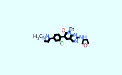 CCn1c(=O)c(-c2ccc(-c3ccn(C)n3)cc2Cl)cc2cnc(N[C@@H]3CCOC3)nc21